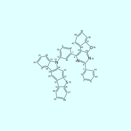 c1ccc(-c2nc(-c3cccc(-n4c5ccccc5c5cc6c(cc54)sc4ccccc46)c3)c3c(n2)oc2ccccc23)cc1